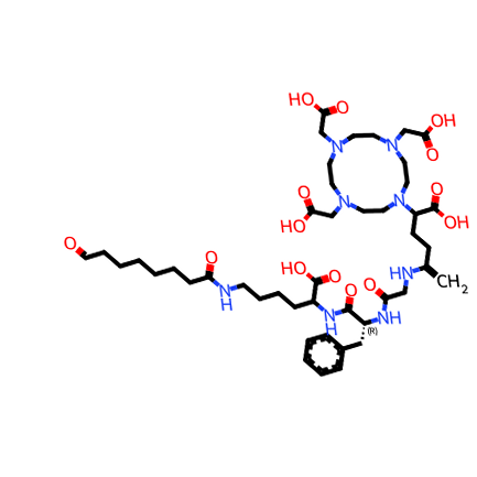 C=C(CCC(C(=O)O)N1CCN(CC(=O)O)CCN(CC(=O)O)CCN(CC(=O)O)CC1)NCC(=O)N[C@H](Cc1ccccc1)C(=O)NC(CCCCNC(=O)CCCCCCC=O)C(=O)O